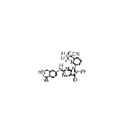 CC(C)n1c(=O)c2cnc(Nc3ccc4c(c3)CNCC43CC3)nc2n1-c1cccc(C(C)(C)C#N)n1